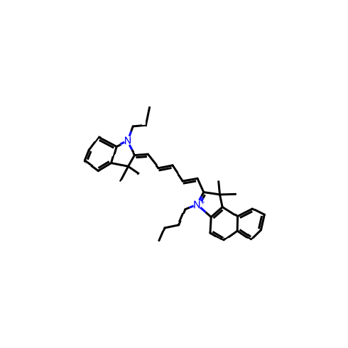 CCCC[N+]1=C(/C=C/C=C/C=C2/N(CCC)c3ccccc3C2(C)C)C(C)(C)c2c1ccc1ccccc21